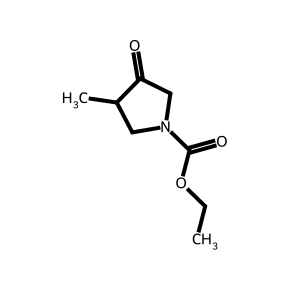 CCOC(=O)N1CC(=O)C(C)C1